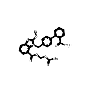 CCOc1nc2cccc(C(=O)OCOC(=O)C(C)(C)C)c2n1Cc1ccc(-c2ccccc2C(=O)C(=O)O)cc1